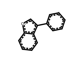 [c]1cccc(-c2coc3ccccc23)c1